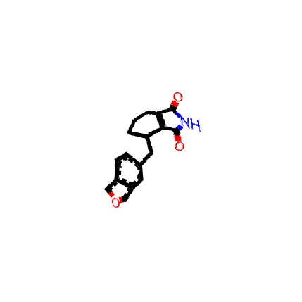 O=C1NC(=O)C2=C1CCCC2Cc1ccc2cocc2c1